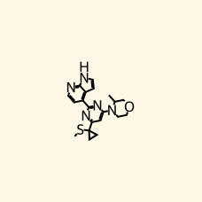 CSC1(c2cc(N3CCOCC3C)nc(-c3ccnc4[nH]ccc34)n2)CC1